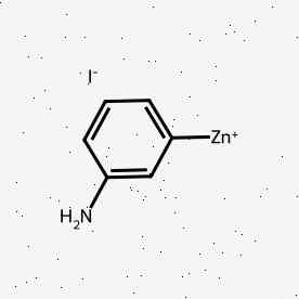 Nc1ccc[c]([Zn+])c1.[I-]